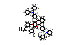 Cc1cccc(-c2ccc3c(c2)C2(c4ccc(N(c5ccccc5)c5ccccc5)cc4)c4ccccc4C3(c3ccc(N(c4ccccc4)c4ccccc4)cc3)c3cc(-c4cccc(C)c4)ccc32)c1